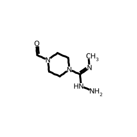 C/N=C(/NN)N1CCN(C=O)CC1